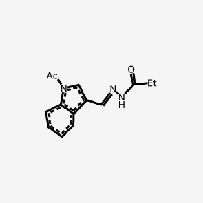 CCC(=O)NN=Cc1cn(C(C)=O)c2ccccc12